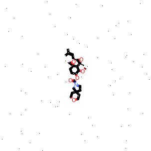 COC1C(OC(=O)N2CCC3(CCOCC3)C2)CCC2(CO2)C1[C@@]1(C)O[C@@H]1CC=C(C)C